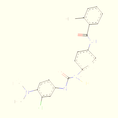 Cc1ccccc1C(=O)Nc1ccc(N(S)C(=O)Nc2ccc(N(C)C)c(Cl)c2)cc1